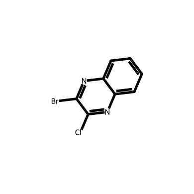 Clc1nc2ccccc2nc1Br